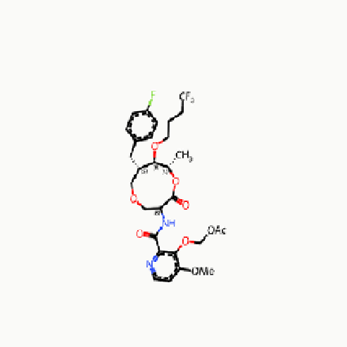 COc1ccnc(C(=O)N[C@H]2COC[C@H](Cc3ccc(F)cc3)[C@@H](OCCCC(F)(F)F)[C@H](C)OC2=O)c1OCOC(C)=O